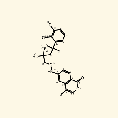 Cc1noc(=O)c2ccc(NOCC(O)(CC(C)(C)c3cccc(F)c3Cl)C(F)(F)F)cc12